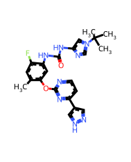 Cc1cc(F)c(NC(=O)Nc2cn(C(C)(C)C)cn2)cc1Oc1nccc(-c2cn[nH]c2)n1